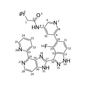 CC(C)CC(=O)Nc1cncc(-c2ccc3[nH]nc(-c4nc5c(-c6ccccn6)nccc5[nH]4)c3c2F)c1